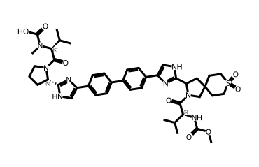 COC(=O)N[C@H](C(=O)N1CC2(CCS(=O)(=O)CC2)CC1c1nc(-c2ccc(-c3ccc(-c4c[nH]c([C@@H]5CCCN5C(=O)[C@H](C(C)C)N(C)C(=O)O)n4)cc3)cc2)c[nH]1)C(C)C